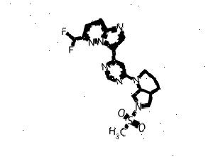 CS(=O)(=O)N1CC2CCCN(c3cc(-c4cnc5ccc(C(F)F)nn45)ncn3)C2C1